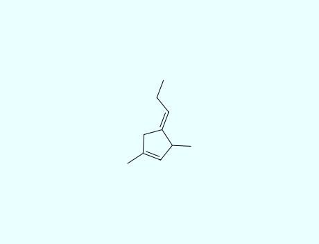 CCC=C1CC(C)=CC1C